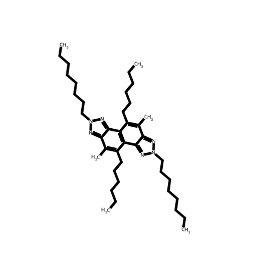 CCCCCCCCn1nc2c(C)c(CCCCCC)c3c4nn(CCCCCCCC)nc4c(C)c(CCCCCC)c3c2n1